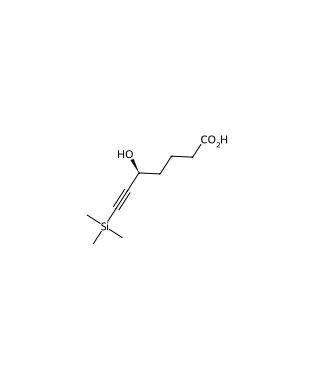 C[Si](C)(C)C#C[C@@H](O)CCCC(=O)O